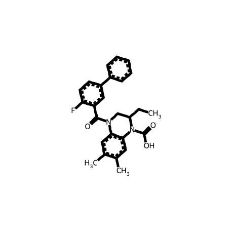 CCC1CN(C(=O)c2cc(-c3ccccc3)ccc2F)c2cc(C)c(C)cc2N1C(=O)O